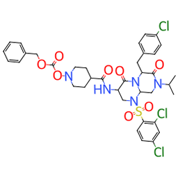 CC(C)N1CC2N(C(=O)C(NC(=O)C3CCN(OC(=O)OCc4ccccc4)CC3)CN2S(=O)(=O)c2ccc(Cl)cc2Cl)C(Cc2ccc(Cl)cc2)C1=O